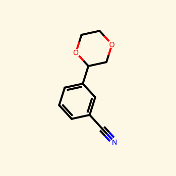 N#Cc1cccc(C2COCCO2)c1